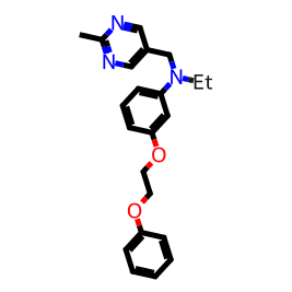 CCN(Cc1cnc(C)nc1)c1cccc(OCCOc2ccccc2)c1